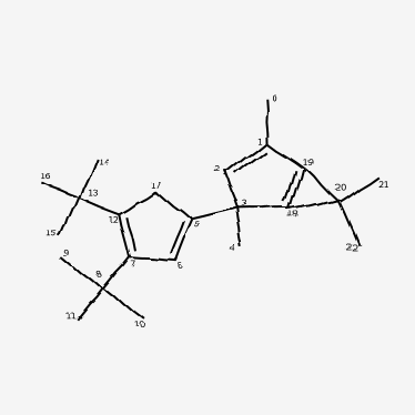 CC1=[C]C(C)(C2=CC(C(C)(C)C)=C(C(C)(C)C)C2)C2=C1C2(C)C